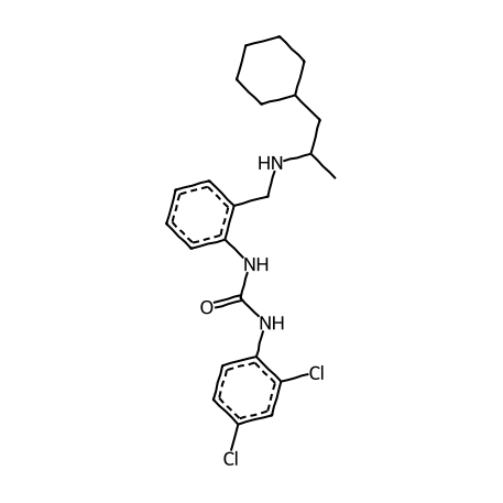 CC(CC1CCCCC1)NCc1ccccc1NC(=O)Nc1ccc(Cl)cc1Cl